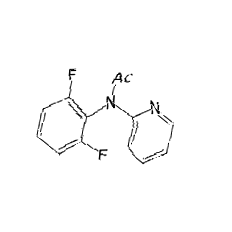 CC(=O)N(c1ccccn1)c1c(F)cccc1F